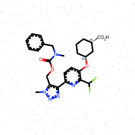 CN(Cc1ccccc1)C(=O)OCc1c(-c2ccc(O[C@H]3CCC[C@H](C(=O)O)C3)c(C(F)F)n2)nnn1C